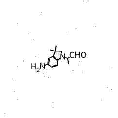 CC(C=O)N1CC(C)(C)c2cc(N)ccc21